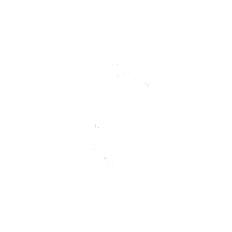 CC(C)O[Si](CC(CSSSCC(C[Si](OC(C)C)(OC(C)C)OC(C)C)c1nc2ccccc2s1)c1nc2ccccc2s1)(OC(C)C)OC(C)C